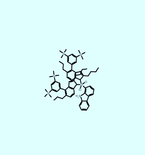 CCCCC1=Cc2c(ccc(CCC)c2-c2cc([Si](C)(C)C)cc([Si](C)(C)C)c2)[CH]1[Zr]([Cl])([Cl])([c]1cccc2c1[SiH2]c1ccccc1-2)[CH]1C(CCCC)=Cc2c1ccc(CCC)c2-c1cc([Si](C)(C)C)cc([Si](C)(C)C)c1